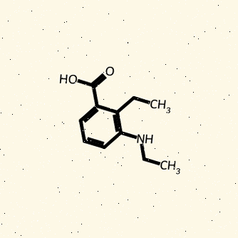 CCNc1cccc(C(=O)O)c1CC